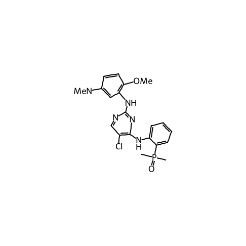 CNc1ccc(OC)c(Nc2ncc(Cl)c(Nc3ccccc3P(C)(C)=O)n2)c1